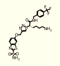 NCCCC[C@@H](C(=O)NCc1ccc(C(F)(F)F)cc1)n1cc(COc2ccc3nc(S(N)(=O)=O)sc3c2)nn1